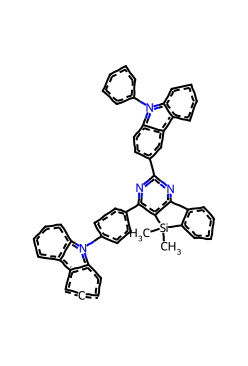 C[Si]1(C)c2ccccc2-c2nc(-c3ccc4c(c3)c3ccccc3n4-c3ccccc3)nc(-c3ccc(-n4c5ccccc5c5ccccc54)cc3)c21